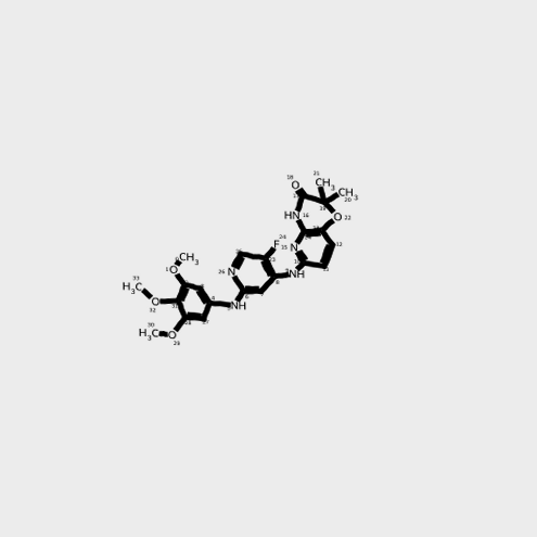 COc1cc(Nc2cc(Nc3ccc4c(n3)NC(=O)C(C)(C)O4)c(F)cn2)cc(OC)c1OC